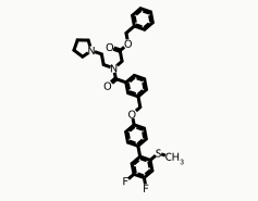 CSc1cc(F)c(F)cc1-c1ccc(OCc2cccc(C(=O)N(CCN3CCCC3)CC(=O)OCc3ccccc3)c2)cc1